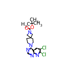 CC(C)(C)OC(=O)N1CC2(CCN(c3ncnc4nc(Cl)c(Cl)cc34)CC2)C1